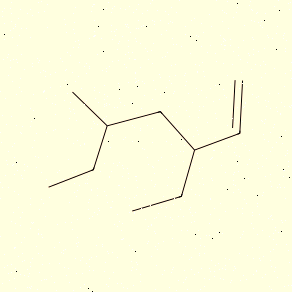 C=CC(CC)CC(C)CC